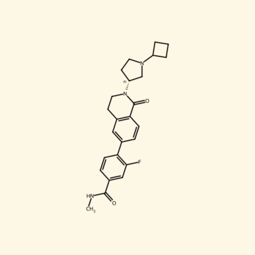 CNC(=O)c1ccc(-c2ccc3c(c2)CCN([C@@H]2CCN(C4CCC4)C2)C3=O)c(F)c1